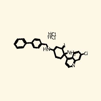 Cl.Cl.NC1(c2ccnc3cc(Cl)ccc23)CCC(NCc2ccc(-c3ccccc3)cc2)CC1I